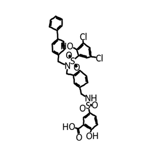 O=C(O)c1cc(S(=O)(=O)NCc2cccc(CN(Cc3ccc(-c4ccccc4)cc3)S(=O)(=O)c3cc(Cl)cc(Cl)c3O)c2)ccc1O